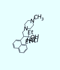 CCC(O)(CC)C(CN1CCN(C)CC1)c1cccc2ccccc12.Cl.Cl